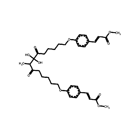 COC(=O)/C=C/c1ccc(OCCCCCC(=O)C(C)C(O)(O)C(=O)CCCCCOc2ccc(/C=C/C(=O)OC)cc2)cc1